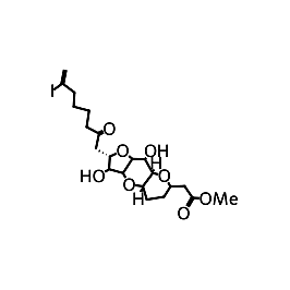 C=C(I)CCCCC(=O)C[C@@H]1OC2C(O[C@H]3CCC(CC(=O)OC)O[C@@H]3C2O)C1O